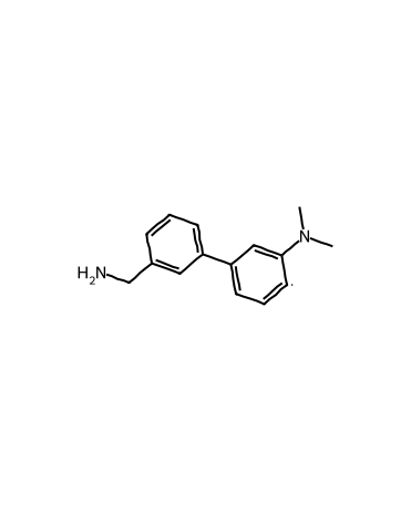 CN(C)c1[c]ccc(-c2cccc(CN)c2)c1